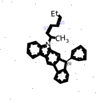 CC/C=C\C=C/C(C)n1c2ccccc2c2cc3c(cc21)[C@@H](c1ccccc1)c1ccccc1-3